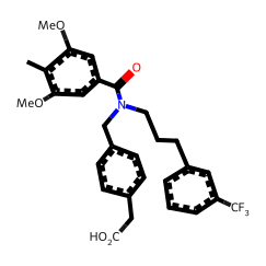 COc1cc(C(=O)N(CCCc2cccc(C(F)(F)F)c2)Cc2ccc(CC(=O)O)cc2)cc(OC)c1C